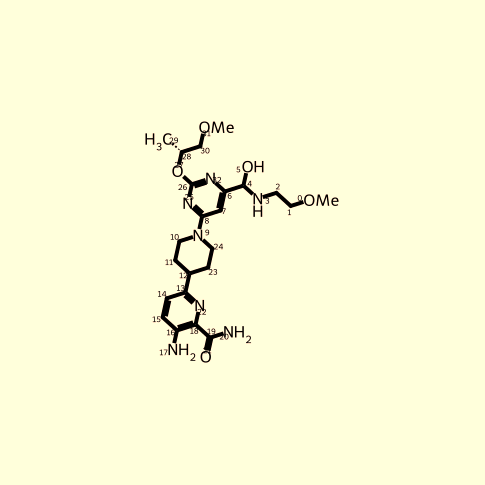 COCCNC(O)c1cc(N2CCC(c3ccc(N)c(C(N)=O)n3)CC2)nc(O[C@H](C)COC)n1